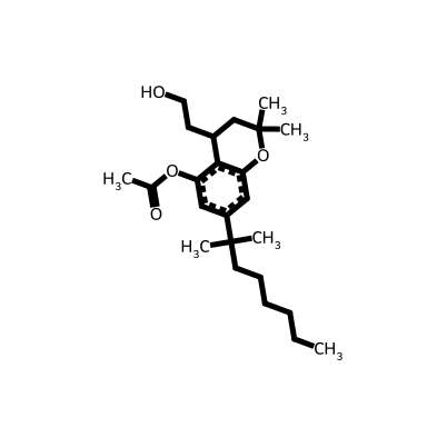 CCCCCCC(C)(C)c1cc(OC(C)=O)c2c(c1)OC(C)(C)CC2CCO